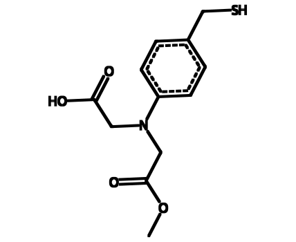 COC(=O)CN(CC(=O)O)c1ccc(CS)cc1